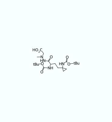 CN(CC(=O)O)NC(=O)C(CCC1(NC(=O)OC(C)(C)C)CC1)NC(=O)OC(C)(C)C